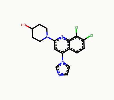 OC1CCN(c2cc(-n3ccnc3)c3ccc(Cl)c(Cl)c3n2)CC1